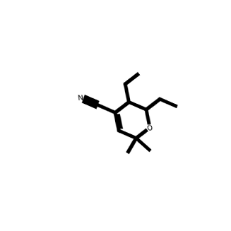 CCC1OC(C)(C)C=C(C#N)C1CC